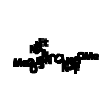 CCn1cncc1Cn1c(CC2CC=C(c3ncc(F)c(OCOC)n3)CC2)nc2sc(C(=O)OC)cc21